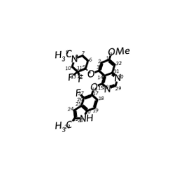 COc1cc(O[C@H]2CCN(C)CC2(F)F)c2c(Oc3ccc4[nH]c(C)cc4c3F)ncnc2c1